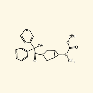 CN(C(=O)OC(C)(C)C)C1C2CN(C(=O)C(O)(c3ccccc3)c3ccccc3)CC21